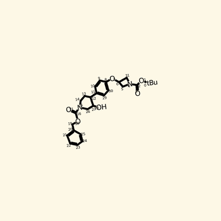 CC(C)(C)OC(=O)N1CC(Oc2ccc(C3CCN(C(=O)OCc4ccccc4)CC3O)cc2)C1